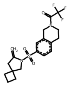 C=C1CC2(CCC2)CN1S(=O)(=O)c1ccc2c(c1)CN(C(=O)C(F)(F)F)CC2